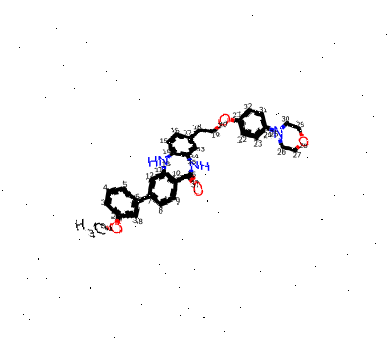 COc1cccc(-c2ccc3c(c2)Nc2ccc(CCOc4ccc(N5CCOCC5)cc4)cc2NC3=O)c1